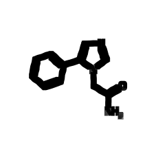 NC(=O)Cn1cncc1-c1ccccc1